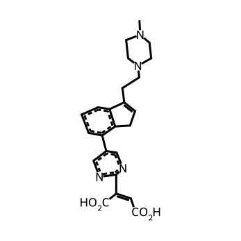 CN1CCN(CCC2=CCc3c2cccc3-c2cnc(C(=CC(=O)O)C(=O)O)nc2)CC1